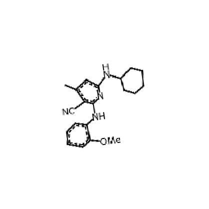 COc1ccccc1Nc1nc(NC2CCCCC2)cc(C)c1C#N